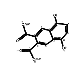 COC(=O)c1cc2c(O)ccc(O)c2cc1C(=O)OC